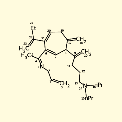 C=CC/N=C(/C)C1=CC(C(=C)CCCN(CCC)C(C)C)C(=C)CC=C1C(=C)CC